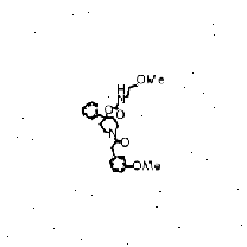 COCCCNC(=O)OC1(c2ccccc2)CCN(C(=O)Cc2cccc(OC)c2)CC1